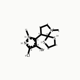 CN1CCC(c2c(Br)c(Cl)nn2C)C12SCCS2